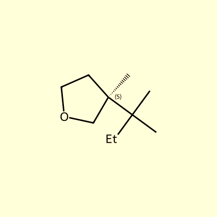 CCC(C)(C)[C@]1(C)CCOC1